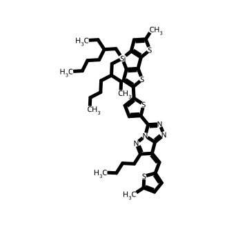 CCCCc1nn2c(-c3ccc(-c4cc5c(s4)-c4sc(C)cc4[Si]5(CC(CC)CCCC)CC(CC)CCCC)s3)nnc2/c1=C/c1ccc(C)s1